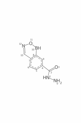 NNC(=O)c1ccc2c(c1)BON=C2